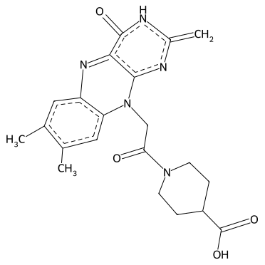 C=c1nc2c(c(=O)[nH]1)=Nc1cc(C)c(C)cc1N2CC(=O)N1CCC(C(=O)O)CC1